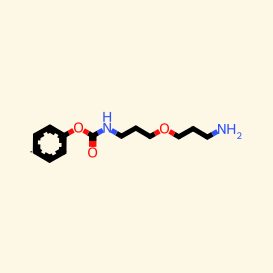 NCCCOCCCNC(=O)Oc1cc[c]cc1